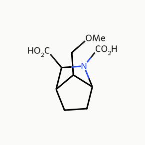 COCC1C2CCC1N(C(=O)O)C2C(=O)O